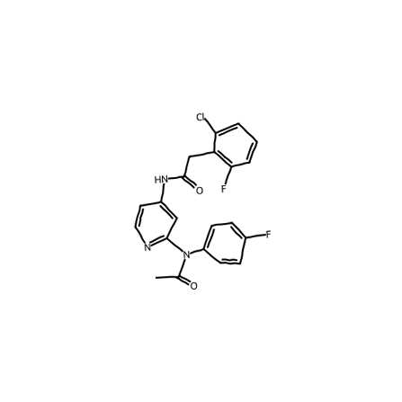 CC(=O)N(c1ccc(F)cc1)c1cc(NC(=O)Cc2c(F)cccc2Cl)ccn1